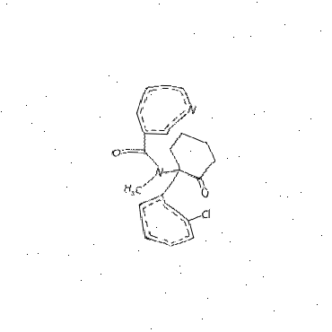 CN(C(=O)c1cccnc1)C1(c2ccccc2Cl)CCCCC1=O